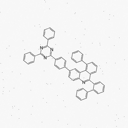 c1ccc(-c2nc(-c3ccccc3)nc(-c3ccc(-c4ccc5nc(-c6ccccc6-c6ccccc6)c6cccc(-c7ccccc7)c6c5c4)cc3)n2)cc1